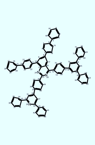 c1ccc(-c2ccc(-c3cc(-c4ccc(-c5ccccc5)cc4)c4nc(-c5ccc(-c6cc(-c7ccccc7)nc(-c7ccccc7)c6)cc5)nc(-c5ccc(-c6cc(-c7ccccc7)cc(-c7ccccc7)c6)cc5)c4c3)cc2)cc1